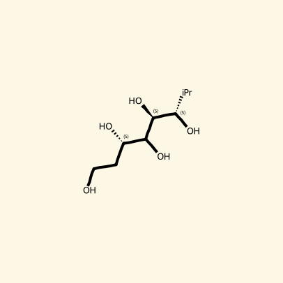 CC(C)[C@H](O)[C@H](O)C(O)[C@@H](O)CCO